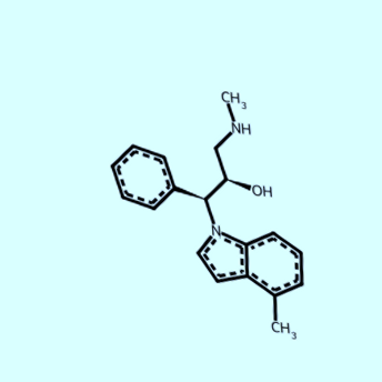 CNC[C@@H](O)[C@H](c1ccccc1)n1ccc2c(C)cccc21